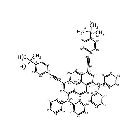 CC(C)(C)c1ccc(C#Cc2cc(N(c3ccccc3)c3ccccc3)c3ccc4c(N(c5ccccc5)c5ccccc5)cc(C#Cc5ccc(C(C)(C)C)cc5)c5ccc2c3c54)cc1